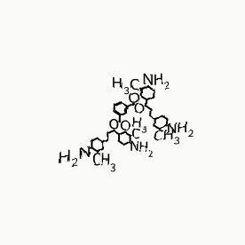 CC1CC(CCC(OC(=O)c2cccc(C(=O)OC(CCC3CCC(N)C(C)C3)C3CCC(N)C(C)C3)c2)C2CCC(N)C(C)C2)CCC1N